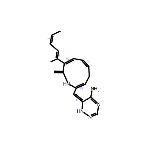 C=C1NC(/C=C2/NN=CN=C2N)=C\C\C=C/C=C1/C(C)=C/C=C\C